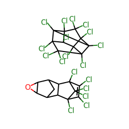 ClC1(Cl)C2(Cl)C3(Cl)C4(Cl)C(Cl)(Cl)C5(Cl)C3(Cl)C1(Cl)C5(Cl)C24Cl.ClC1=C(Cl)C2(Cl)C3C4CC(C5OC45)C3C1(Cl)C2(Cl)Cl